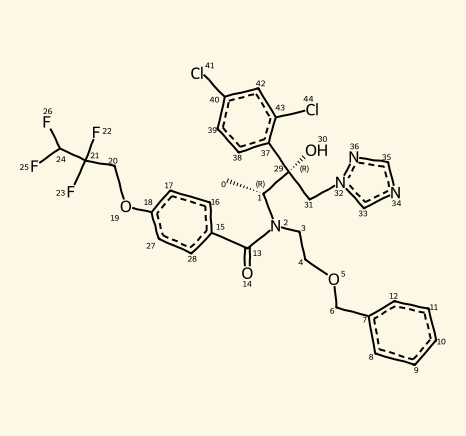 C[C@@H](N(CCOCc1ccccc1)C(=O)c1ccc(OCC(F)(F)C(F)F)cc1)[C@](O)(Cn1cncn1)c1ccc(Cl)cc1Cl